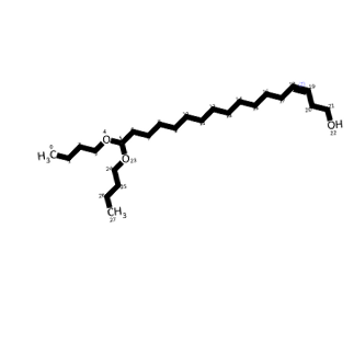 CCCCOC(CCCCCCCCCCCC/C=C\CCO)OCCCC